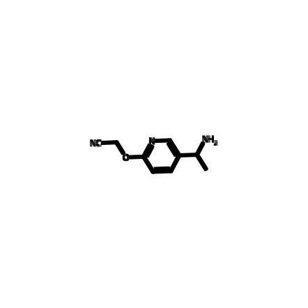 CC(N)c1ccc(OCC#N)nc1